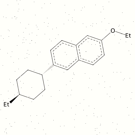 CCOc1ccc2cc([C@H]3CC[C@H](CC)CC3)ccc2c1